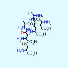 CC(N)C(=O)O.N=C(N)NCCCC(N)C(=O)O.NC(=O)CC(N)C(=O)O.NC(CC(=O)O)C(=O)O.NC(CS)C(=O)O